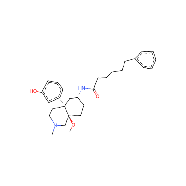 CO[C@]12CC[C@@H](NC(=O)CCCCCc3ccccc3)C[C@]1(c1cccc(O)c1)CCN(C)C2